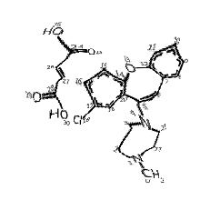 CN1CCN(C2=Cc3ccccc3Oc3ccc(Cl)cc32)CC1.O=C(O)C=CC(=O)O